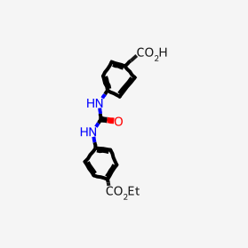 CCOC(=O)c1ccc(NC(=O)Nc2ccc(C(=O)O)cc2)cc1